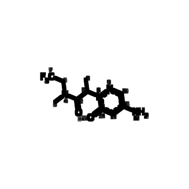 CC(C(=O)N(C)CC(F)(F)F)n1ncc(N)cc1=O